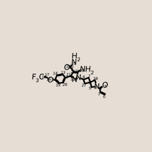 C=CC(=O)N1CC2(CC(n3nc(-c4ccc(OCC(F)(F)F)cc4)c(C(N)=O)c3N)C2)C1